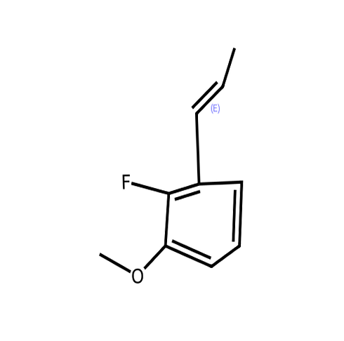 C/C=C/c1cccc(OC)c1F